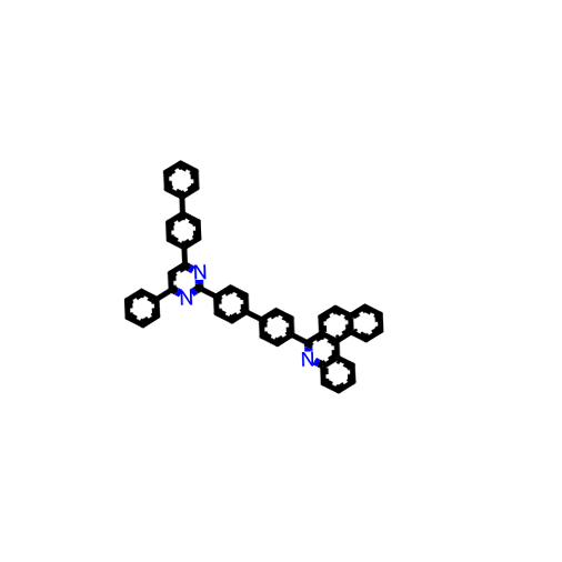 c1ccc(-c2ccc(-c3cc(-c4ccccc4)nc(-c4ccc(-c5ccc(-c6nc7ccccc7c7c6ccc6ccccc67)cc5)cc4)n3)cc2)cc1